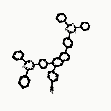 N#Cc1ccc(-c2cc3ccc(-c4ccc(-c5nc(-c6ccccc6)nc(-c6ccccc6)n5)cc4)cc3cc2-c2ccc(-c3nc(-c4ccccc4)nc(-c4ccccc4)n3)cc2)cc1